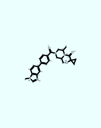 CC1CN(C(=O)c2ccc(-c3ccc4c(c3)ncn4C)cc2)CC(C)N1C(=O)C1(O)CC1